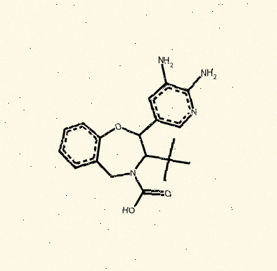 CC(C)(C)C1C(c2cnc(N)c(N)c2)Oc2ccccc2CN1C(=O)O